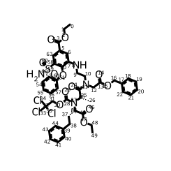 CCOC(=O)c1cc(NCCN(CC(=O)OCc2ccccc2)C(=O)[C@H](C)N(C(=O)OCC(Cl)(Cl)Cl)[C@@H](CCc2ccccc2)C(=O)OCC)c(Oc2ccccc2)c(S(N)(=O)=O)c1